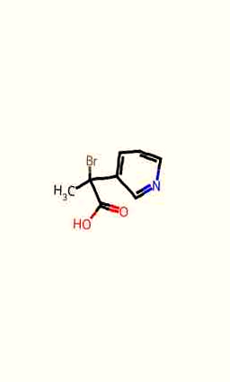 CC(Br)(C(=O)O)c1cccnc1